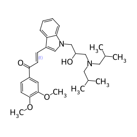 COc1ccc(C(=O)/C=C/c2cn(CC(O)CN(CC(C)C)CC(C)C)c3ccccc23)cc1OC